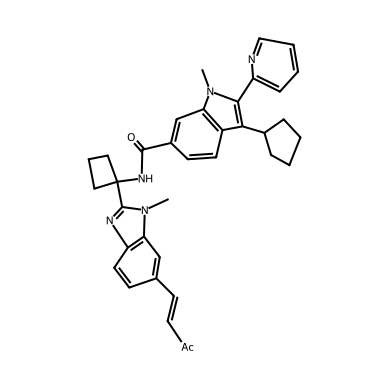 CC(=O)/C=C/c1ccc2nc(C3(NC(=O)c4ccc5c(C6CCCC6)c(-c6ccccn6)n(C)c5c4)CCC3)n(C)c2c1